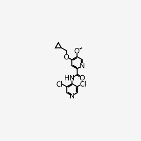 COc1cnc(C(=O)Nc2c(Cl)cncc2Cl)cc1OCC1CC1